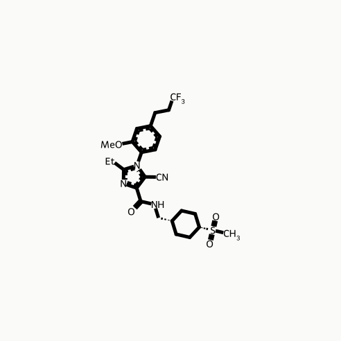 CCc1nc(C(=O)NC[C@H]2CC[C@@H](S(C)(=O)=O)CC2)c(C#N)n1-c1ccc(CCC(F)(F)F)cc1OC